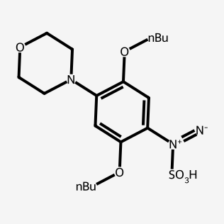 CCCCOc1cc([N+](=[N-])S(=O)(=O)O)c(OCCCC)cc1N1CCOCC1